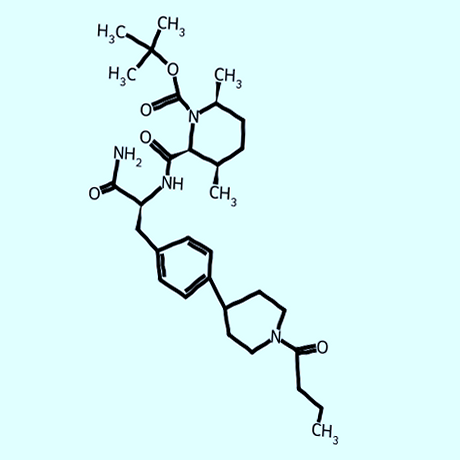 CCCC(=O)N1CCC(c2ccc(C[C@H](NC(=O)[C@@H]3[C@H](C)CC[C@H](C)N3C(=O)OC(C)(C)C)C(N)=O)cc2)CC1